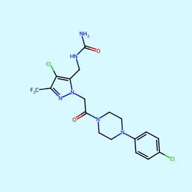 NC(=O)NCc1c(Cl)c(C(F)(F)F)nn1CC(=O)N1CCN(c2ccc(Cl)cc2)CC1